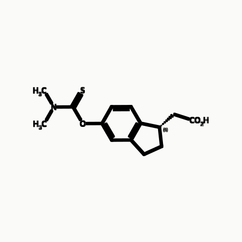 CN(C)C(=S)Oc1ccc2c(c1)CC[C@H]2CC(=O)O